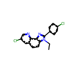 CCn1c(-c2ccc(Cl)cc2)nc2c3ncc(Cl)cc3ccc21